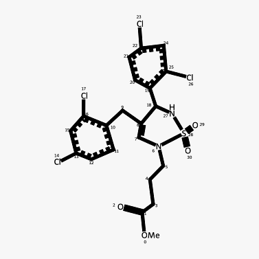 COC(=O)CCCN1C=C(Cc2ccc(Cl)cc2Cl)C(c2ccc(Cl)cc2Cl)NS1(=O)=O